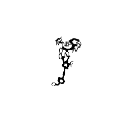 O=Cc1ccc(C#Cc2cc(F)c3c(c2)C(=O)N(C(C(=O)Nc2nccs2)c2ncn4c2CCC4)C3)cc1